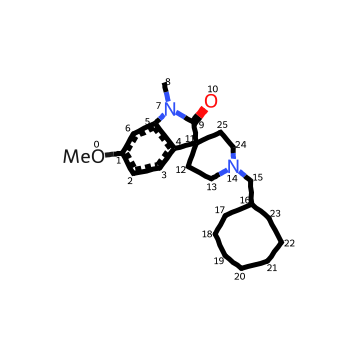 COc1ccc2c(c1)N(C)C(=O)C21CCN(CC2CCCCCCC2)CC1